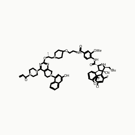 C=CC(=O)N1CCN(c2nc(O[C@H](C)CN3CCC(OCCNC(=O)c4ccc(NC(=O)[C@@H]5N[C@@H](CC(C)(C)C)[C@](C#N)(c6ccc(Cl)cc6F)[C@H]5c5cccc(Cl)c5F)c(OC)c4)CC3)nc3c2CCN(c2cc(O)cc4ccccc24)C3)CC1